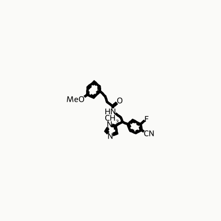 COc1cccc(CCC(=O)NCC(c2ccc(C#N)c(F)c2)c2cncn2C)c1